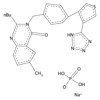 CCCCc1nc2ccc(C)cc2c(=O)n1Cc1ccc(-c2cscc2-c2nnn[nH]2)cc1.O=P([O-])(O)O.[Na+]